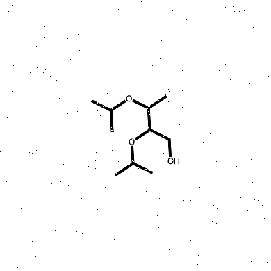 CC(C)OC(C)C(CO)OC(C)C